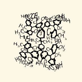 Cc1cc(C(c2cc(C)c(O)cc2C)c2cc(C3(c4cc(C)c(OCC(=O)O)c(C(c5cc(C)c(O)cc5C)c5cc(C)c(O)cc5C)c4)CCC(C(C)(C)C4CCC(c5cc(C)c(OCC(=O)O)c(C(c6cc(C)c(O)cc6C)c6cc(C)c(O)cc6C)c5)(c5cc(C)c(OCC(=O)O)c(C(c6cc(C)c(O)cc6C)c6cc(C)c(O)cc6C)c5)CC4)CC3)cc(C)c2OCC(=O)O)c(C)cc1O